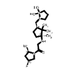 CC1(C)[C@H](CN2CCCS2(O)O)CC[C@]1(C)NCC(=O)N1C[C@@H](F)C[C@H]1C#N